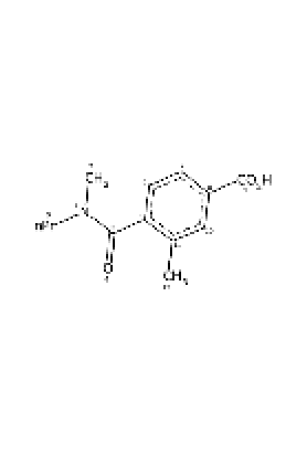 CCCN(C)C(=O)c1ccc(C(=O)O)cc1C